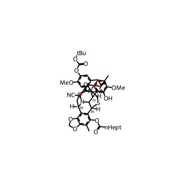 C=CCN1C2Cc3cc(C)c(OC)c(O)c3[C@H]1C1[C@@H]3SC[C@]4(NCCc5cc(OC(=O)OC(C)(C)C)c(OC)cc54)C(=O)OC[C@@H](c4c5c(c(C)c(OC(=O)CCCCCCC)c43)OCO5)N1[C@H]2C#N